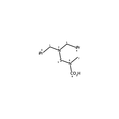 CC(C)CN(CC(C)C)SN(C)C(=O)O